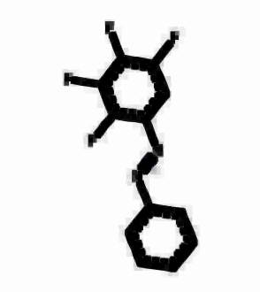 Fc1cc(/N=N/c2ccccc2)c(F)c(F)c1F